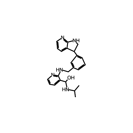 CC(C)NC(O)c1cccnc1NCc1cccc(C2CNc3ncccc32)c1